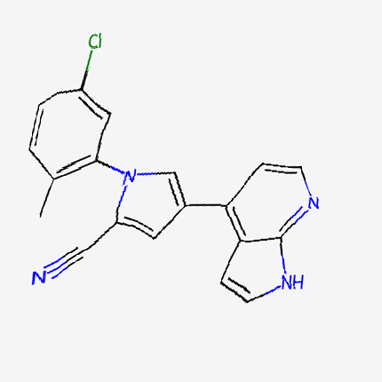 Cc1ccc(Cl)cc1-n1cc(-c2ccnc3[nH]ccc23)cc1C#N